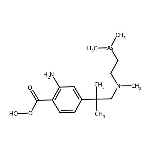 CN(CC[As](C)C)CC(C)(C)c1ccc(C(=O)OO)c(N)c1